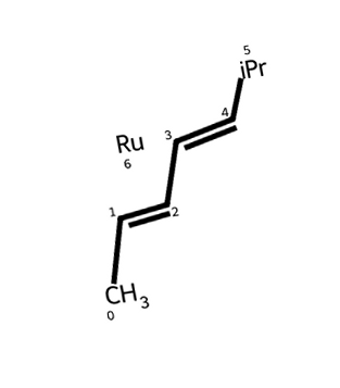 CC=CC=CC(C)C.[Ru]